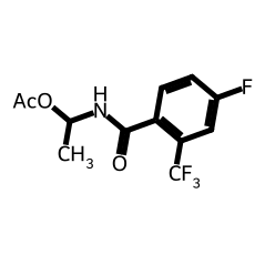 CC(=O)OC(C)NC(=O)c1ccc(F)cc1C(F)(F)F